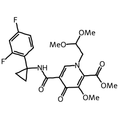 COC(=O)c1c(OC)c(=O)c(C(=O)NC2(c3ccc(F)cc3F)CC2)cn1CC(OC)OC